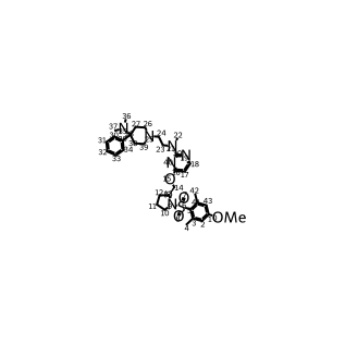 COc1cc(C)c(S(=O)(=O)N2CCC[C@H]2COc2ccnc(N(C)CCN3CCC(c4ccccc4)(N(C)C)CC3)n2)c(C)c1